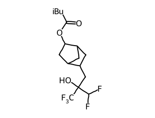 CCC(C)C(=O)OC1CC2CC1CC2CC(O)(C(F)F)C(F)(F)F